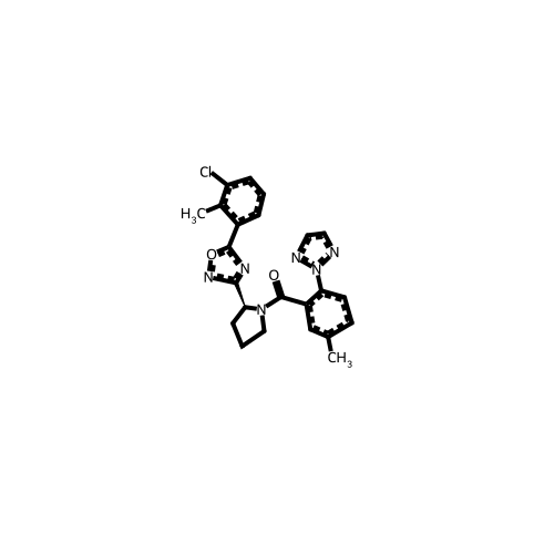 Cc1ccc(-n2nccn2)c(C(=O)N2CCC[C@H]2c2noc(-c3cccc(Cl)c3C)n2)c1